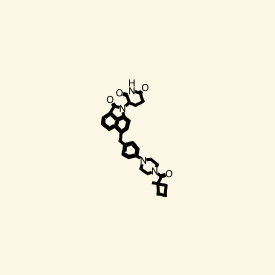 CC1(C(=O)N2CCN(c3ccc(Cc4ccc5c6c(cccc46)C(=O)N5C4CCC(=O)NC4=O)cc3)CC2)CCC1